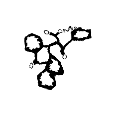 COC(=O)/C(C(=O)c1ccccc1)=C1\c2ccccc2C(=O)c2c1ccc1ccccc21